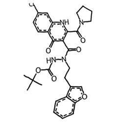 CC(C)(C)OC(=O)NN(CCc1coc2ccccc12)C(=O)c1c(C(=O)N2CCCC2)[nH]c2cc(Cl)ccc2c1=O